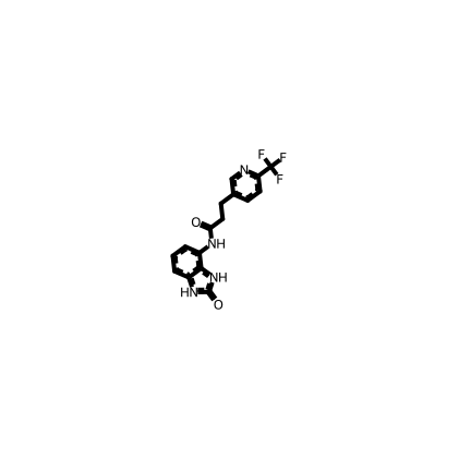 O=C(CCc1ccc(C(F)(F)F)nc1)Nc1cccc2[nH]c(=O)[nH]c12